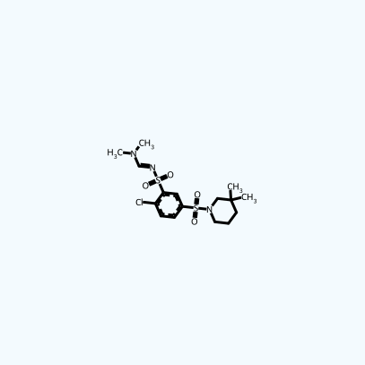 CN(C)/C=N/S(=O)(=O)c1cc(S(=O)(=O)N2CCCC(C)(C)C2)ccc1Cl